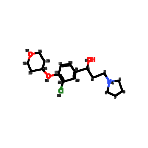 OC(CCN1CCCC1)c1ccc(OC2CCOCC2)c(Cl)c1